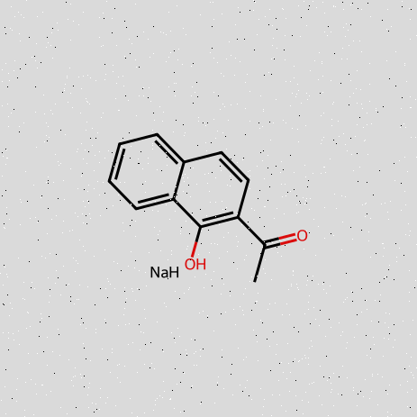 CC(=O)c1ccc2ccccc2c1O.[NaH]